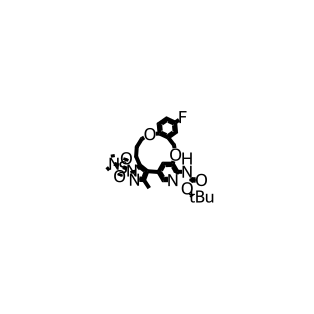 Cc1nn(S(=O)(=O)N(C)C)c2c1-c1cnc(NC(=O)OC(C)(C)C)c(c1)OCc1cc(F)ccc1OCCC2